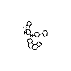 c1ccc(-c2ccc(N(c3cnc4oc5ccccc5c4c3)c3ccc4ccc5ccc6ccccc6c5c4c3)cc2)cc1